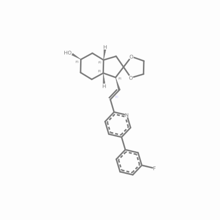 O[C@@H]1CC[C@@H]2[C@H](C1)CC1(OCCO1)[C@H]2/C=C/c1ccc(-c2cccc(F)c2)cn1